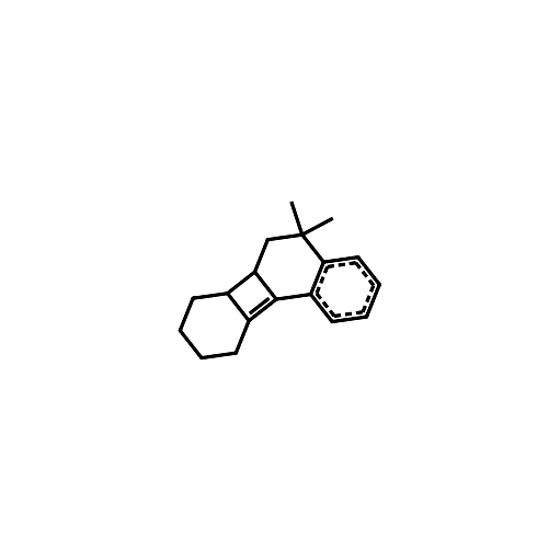 CC1(C)CC2C(=C3CCCCC32)c2ccccc21